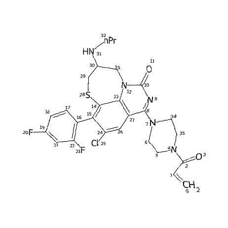 C=CC(=O)N1CCN(c2nc(=O)n3c4c(c(-c5ccc(F)cc5F)c(Cl)cc24)SCC(NCCC)C3)CC1